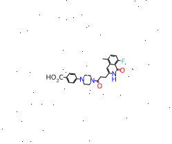 Cc1ccc(F)c2c(=O)[nH]c(CCC(=O)N3CCN(c4ccc(C(=O)O)cc4)CC3)cc12